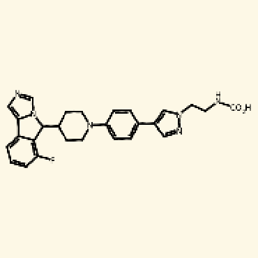 O=C(O)NCCn1cc(-c2ccc(N3CCC(C4c5c(F)cccc5-c5cncn54)CC3)cc2)cn1